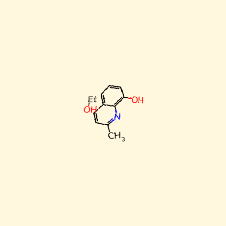 CCO.Cc1ccc2cccc(O)c2n1